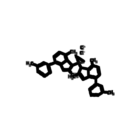 CC1=Cc2c(-c3cccc(C)c3)ccc(C)c2[CH]1[Zr+2]1([CH]2C(C)=Cc3c(-c4cccc(C)c4)ccc(C)c32)[CH2][CH2]1.[Cl-].[Cl-]